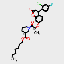 CCCCCCCOC(=O)[C@H]1CCCN(C(=O)[C@@H](C)Oc2ccc3c(-c4ccc(F)cc4Cl)cc(=O)oc3c2)C1